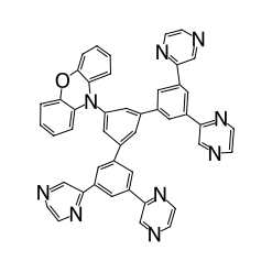 c1ccc2c(c1)Oc1ccccc1N2c1cc(-c2cc(-c3cnccn3)cc(-c3cnccn3)c2)cc(-c2cc(-c3cnccn3)cc(-c3cnccn3)c2)c1